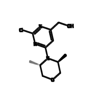 C[C@H]1COC[C@H](C)N1c1cc(CO)nc(Cl)n1